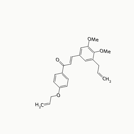 C=CCOc1ccc(C(=O)C=Cc2cc(CC=C)c(OC)c(OC)c2)cc1